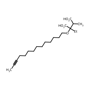 CC#CCCCCCCCCCCCOC(CC)(C(=O)O)C(C)C(=O)O